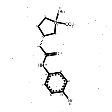 CC(C)(C)[N+]1(C(=O)O)CC[C@@H](CC(=O)Nc2ccc(Br)cc2)C1